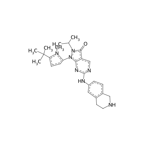 CC(C)n1c(=O)c2cnc(Nc3ccc4c(c3)CCNC4)nc2n1-c1ccc(C(C)(C)C)n1C